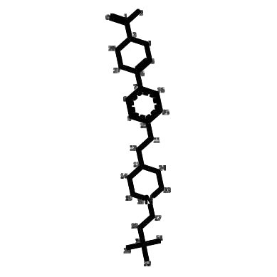 C=C(C)C1CC=C(c2ccc(CCC3CCN(CCC(C)(C)C)CC3)cc2)CC1